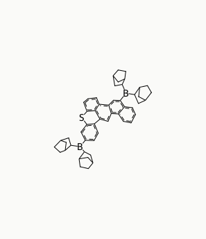 c1ccc2c(c1)c(B(C1CC3CCC1C3)C1CC3CCC1C3)cc1c3cccc4c3c(cc21)-c1ccc(B(C2CC3CCC2C3)C2CC3CCC2C3)cc1S4